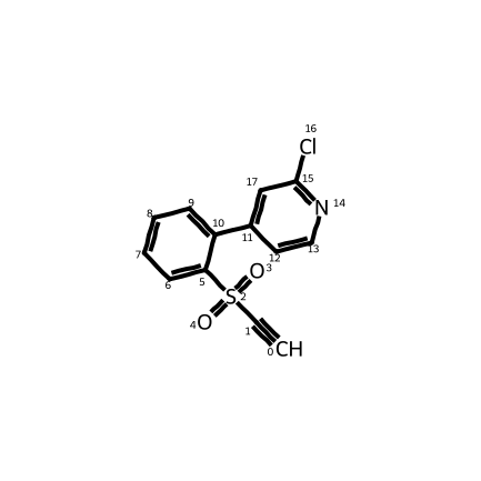 C#CS(=O)(=O)c1ccccc1-c1ccnc(Cl)c1